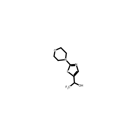 OC(c1cnc(N2CCOCC2)s1)C(F)(F)F